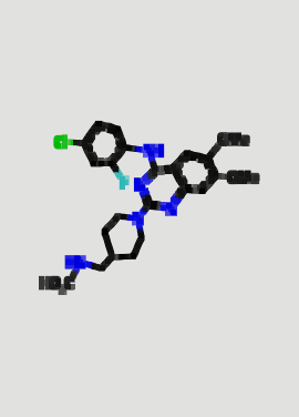 COc1cc2nc(N3CCC(CNC(=O)O)CC3)nc(Nc3ccc(Cl)cc3F)c2cc1OC